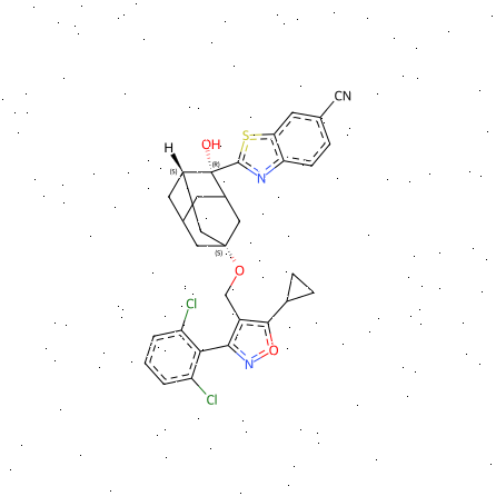 N#Cc1ccc2nc([C@@]3(O)C4CC5C[C@H]3C[C@](OCc3c(-c6c(Cl)cccc6Cl)noc3C3CC3)(C5)C4)sc2c1